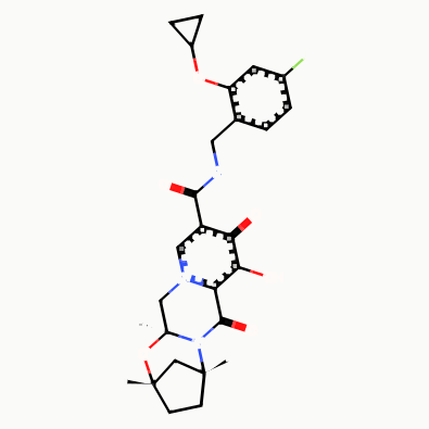 O=C(NCc1ccc(F)cc1OC1CC1)c1cn2c(c(O)c1=O)C(=O)N1[C@@H]3CC[C@@H](C3)O[C@H]1C2